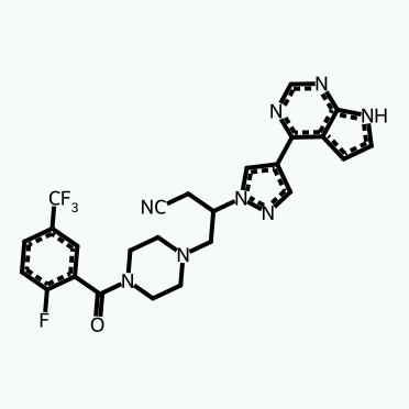 N#CCC(CN1CCN(C(=O)c2cc(C(F)(F)F)ccc2F)CC1)n1cc(-c2ncnc3[nH]ccc23)cn1